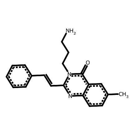 Cc1ccc2nc(C=Cc3ccccc3)n(CCCN)c(=O)c2c1